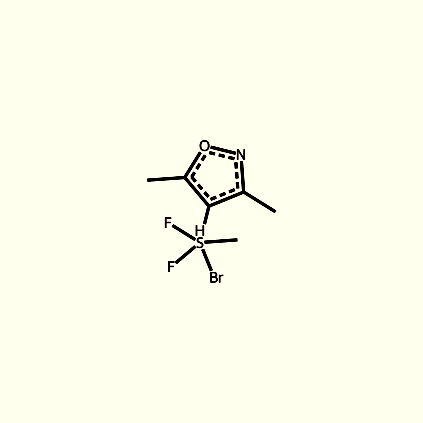 Cc1noc(C)c1[SH](C)(F)(F)Br